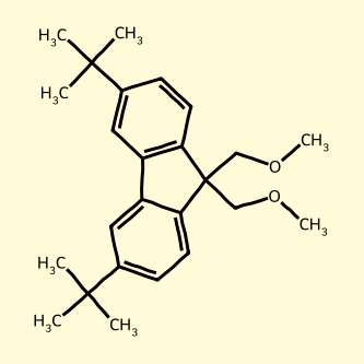 COCC1(COC)c2ccc(C(C)(C)C)cc2-c2cc(C(C)(C)C)ccc21